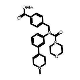 COC(=O)c1ccc(CN(C(=O)N2CCOCC2)c2cccc(C3=CCN(C)CC3)c2)cc1